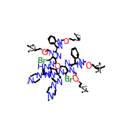 CN1CCN(C2=CNC(C(=O)C3(N4Cc5nc(-c6nn(COCC[Si](C)(C)C)c7ccccc67)n(COCC[Si](C)(C)C)c5C4Br)C=NC(N4CCN(C)CC4)=CN3)(N3Cc4nc(-c5nn(COCC[Si](C)(C)C)c6ccccc56)n(COCC[Si](C)(C)C)c4C3Br)C=N2)CC1